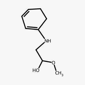 COC(O)CNC1=CC=CCC1